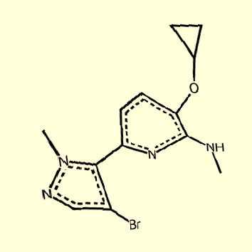 CNc1nc(-c2c(Br)cnn2C)ccc1OC1CC1